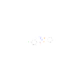 Cc1ccc(S(=O)(=O)N(N)C(=O)c2ccc(Cl)cc2)cc1